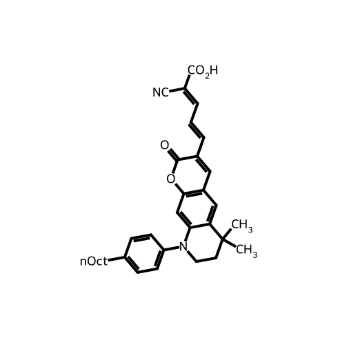 CCCCCCCCc1ccc(N2CCC(C)(C)c3cc4cc(/C=C/C=C(\C#N)C(=O)O)c(=O)oc4cc32)cc1